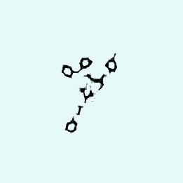 N#Cc1ccc(OCC2=C(C(=O)OC(c3ccccc3)c3ccccc3)N3C(=O)C(NC(=O)COc4ccccc4)[C@@H]3SC2)cc1